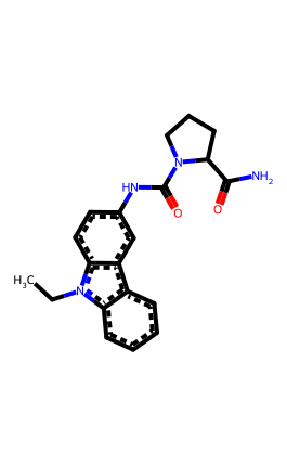 CCn1c2ccccc2c2cc(NC(=O)N3CCCC3C(N)=O)ccc21